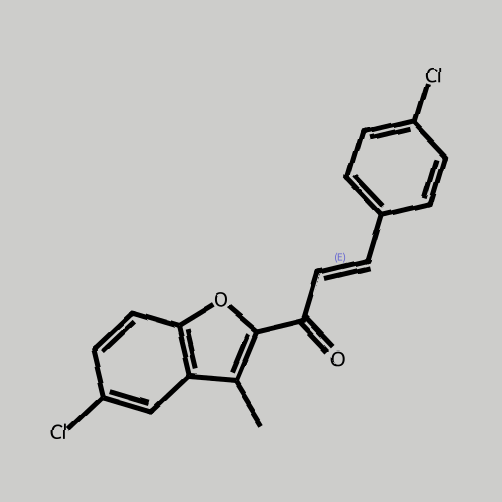 Cc1c(C(=O)/C=C/c2ccc(Cl)cc2)oc2ccc(Cl)cc12